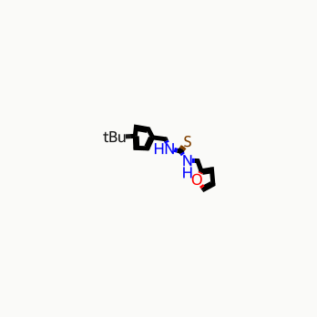 CC(C)(C)c1ccc(CNC(=S)NCc2ccco2)cc1